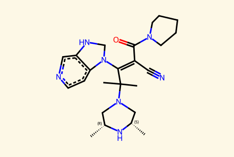 C[C@@H]1CN(C(C)(C)C(=C(C#N)C(=O)N2CCCCC2)N2CNc3cnccc32)C[C@H](C)N1